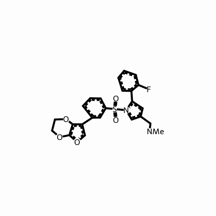 CNCc1cc(-c2ccccc2F)n(S(=O)(=O)c2cccc(-c3coc4c3OCCO4)c2)c1